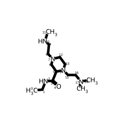 CCNC(=O)C1CN(CCNC)CCN1CCN(C)C